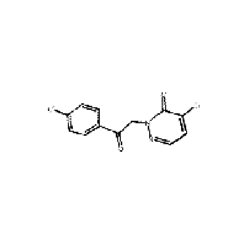 O=C(Cn1nccc(Cl)c1=O)c1ccc(Cl)cc1